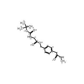 [CH2]NC(=O)Cc1ccc(COC(=O)CNC(=O)OC(C)(C)C)cc1